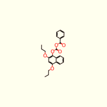 CCCOc1cc(OCCC)c2ccccc2c1OC(=O)OC(=O)c1ccccc1